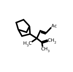 C=C(C)C(C)(C=CC(C)=O)C1CC2CCC1C2